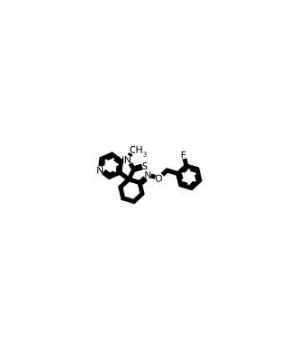 CNC(=S)C1(c2cccnc2)CCCCC1=NOCc1ccccc1F